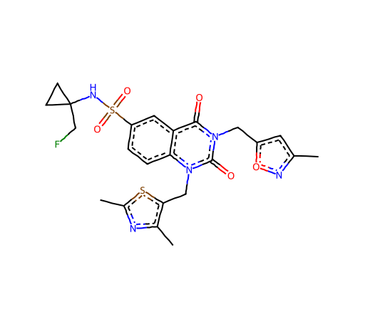 Cc1cc(Cn2c(=O)c3cc(S(=O)(=O)NC4(CF)CC4)ccc3n(Cc3sc(C)nc3C)c2=O)on1